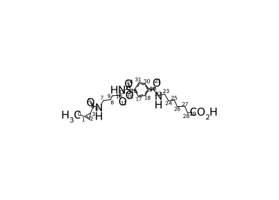 CC1=CC1C(=O)NCCCC(=O)NS(=O)(=O)c1ccc(C(=O)NCCCCCCC(=O)O)cc1